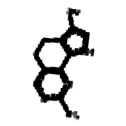 CC(=O)Oc1c[nH]c2c1CCc1cnc(N)nc1-2